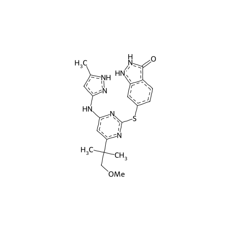 COCC(C)(C)c1cc(Nc2cc(C)[nH]n2)nc(Sc2ccc3c(=O)[nH][nH]c3c2)n1